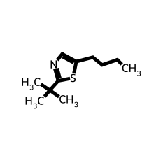 CCCCc1cnc(C(C)(C)C)s1